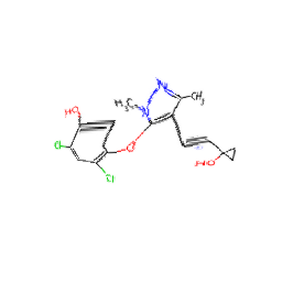 Cc1nn(C)c(Oc2cc(O)c(Cl)cc2Cl)c1/C=C/C1(O)CC1